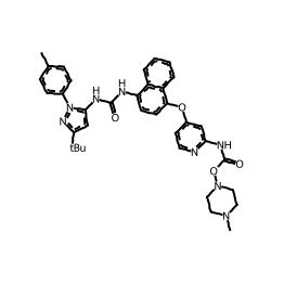 Cc1ccc(-n2nc(C(C)(C)C)cc2NC(=O)Nc2ccc(Oc3ccnc(NC(=O)ON4CCN(C)CC4)c3)c3ccccc23)cc1